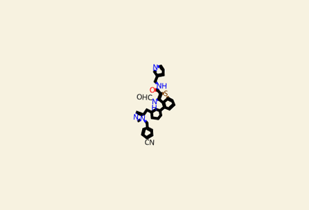 N#Cc1ccc(Cn2cncc2CC2CCCC(c3cccc4sc(C(=O)NCc5cccnc5)c(NC=O)c34)C2)cc1